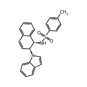 Cc1ccc(S(=O)(=O)N[C@@H]2c3ccccc3C=C[C@@H]2n2ccc3ccccc32)cc1